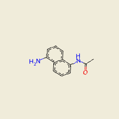 CC(=O)Nc1cccc2c(N)cccc12